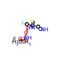 CC(C)(OC(=O)NCCOCCOc1cc(F)ccc1-c1nnc(-c2ccc3c(c2)CCNC3)c2ccsc12)C(F)(F)F